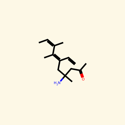 C=C/C(CC(C)(N)CC(C)=O)=C(C)\C(C)=C/C